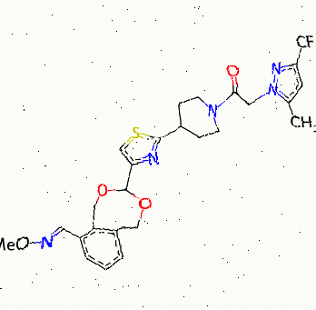 CO/N=C/c1cccc2c1COC(c1csc(C3CCN(C(=O)Cn4nc(C(F)(F)F)cc4C)CC3)n1)OC2